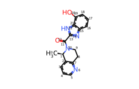 C[C@@H]1c2cccnc2CCN1C(=O)c1nc2cccc(O)c2[nH]1